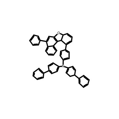 C1=CC2Oc3cc(-c4ccccc4)c4ccccc4c3C2C(c2ccc(N(C3=CCC(c4ccccc4)C=C3)c3ccc(-c4ccccc4)cc3)cc2)=C1